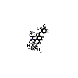 C/C=C(/C(=O)OC)C(=O)c1cc(Cc2cccc(Cl)c2Cl)ccc1C=CCC(C)(C)O